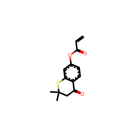 C=CC(=O)Oc1ccc2c(c1)SC(C)(C)CC2=O